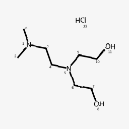 CN(C)CCN(CCO)CCO.Cl